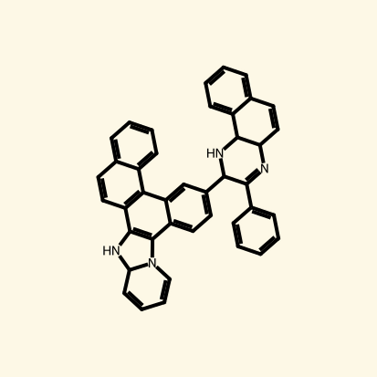 C1=CC2Nc3c(c4ccc(C5NC6c7ccccc7C=CC6N=C5c5ccccc5)cc4c4c3ccc3ccccc34)N2C=C1